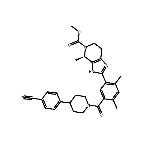 COC(=O)N1CCc2nc(-c3cc(C(=O)N4CCC(c5ccc(C#N)cc5)CC4)c(C)cc3C)[nH]c2[C@H]1C